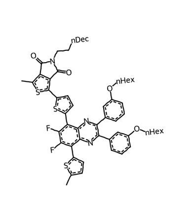 CCCCCCCCCCCCN1C(=O)c2c(C)sc(-c3ccc(-c4c(F)c(F)c(-c5ccc(C)s5)c5nc(-c6cccc(OCCCCCC)c6)c(-c6cccc(OCCCCCC)c6)nc45)s3)c2C1=O